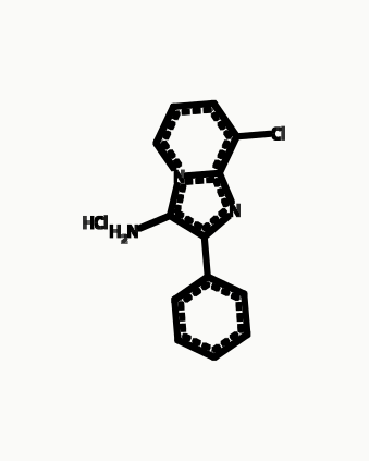 Cl.Nc1c(-c2ccccc2)nc2c(Cl)cccn12